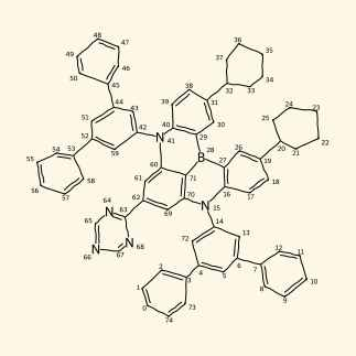 c1ccc(-c2cc(-c3ccccc3)cc(N3c4ccc(C5CCCCC5)cc4B4c5cc(C6CCCCC6)ccc5N(c5cc(-c6ccccc6)cc(-c6ccccc6)c5)c5cc(-c6ncncn6)cc3c54)c2)cc1